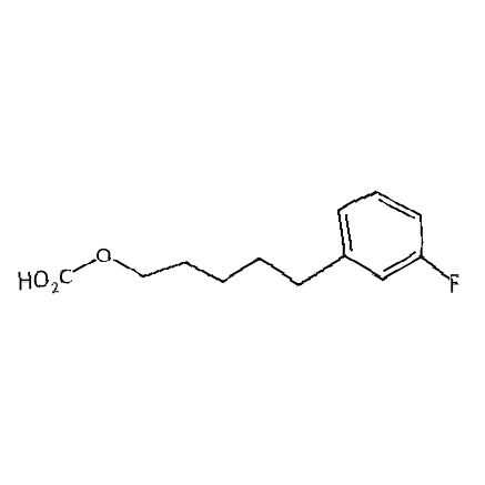 O=C(O)OCCCCCc1cccc(F)c1